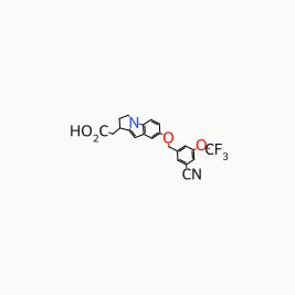 N#Cc1cc(COc2ccc3c(c2)cc2n3CCC2CC(=O)O)cc(OC(F)(F)F)c1